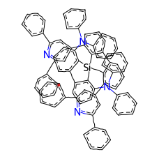 c1ccc(-c2cc(-c3cccc4c3[Si]3(c5c(-c6cc(-c7ccccc7)nc(-c7ccccc7)c6)cccc5-4)c4c(cccc4N(c4ccccc4)c4ccccc4)-c4cccc(N(c5ccccc5)c5ccccc5)c43)cc(-c3ccccc3)n2)cc1